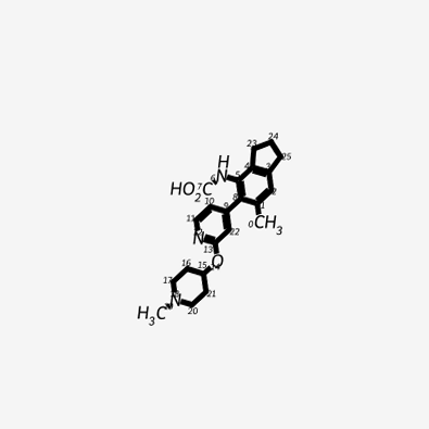 Cc1cc2c(c(NC(=O)O)c1-c1ccnc(OC3CCN(C)CC3)c1)CCC2